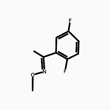 CON=C(C)c1cc(F)ccc1F